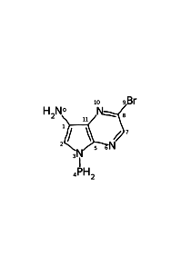 Nc1cn(P)c2ncc(Br)nc12